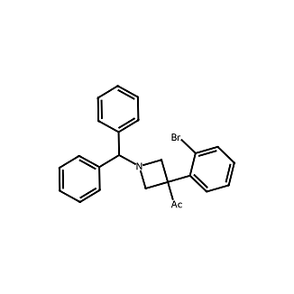 CC(=O)C1(c2ccccc2Br)CN(C(c2ccccc2)c2ccccc2)C1